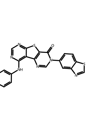 O=c1c2sc3ncnc(Nc4ccccc4)c3c2ncn1-c1ccc2scnc2c1